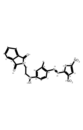 CCN(CCN1C(=O)c2ccccc2C1=O)c1ccc(/N=N/c2sc([N+](=O)[O-])cc2[N+](=O)[O-])c(C)c1